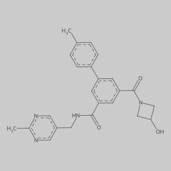 Cc1ccc(-c2cc(C(=O)NCc3cnc(C)nc3)cc(C(=O)N3CC(O)C3)c2)cc1